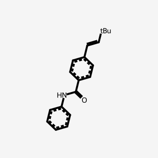 CC(C)(C)/C=C/c1ccc(C(=O)Nc2ccccc2)cc1